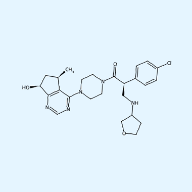 C[C@@H]1C[C@H](O)c2ncnc(N3CCN(C(=O)[C@H](CNC4CCOC4)c4ccc(Cl)cc4)CC3)c21